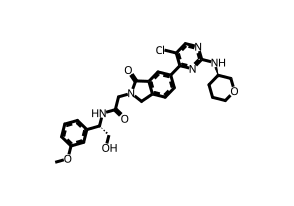 COc1cccc([C@@H](CO)NC(=O)CN2Cc3ccc(-c4nc(N[C@@H]5CCCOC5)ncc4Cl)cc3C2=O)c1